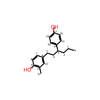 CCCC(CCc1ccc(O)c(C)c1)c1ccc(O)cc1